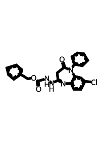 O=C(NNC1=Nc2ccc(Cl)cc2N(c2ccccc2)C(=O)C1)OCc1ccccc1